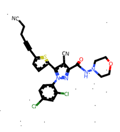 N#CCCC#Cc1ccc(-c2c(C#N)c(C(=O)NN3CCOCC3)nn2-c2ccc(Cl)cc2Cl)s1